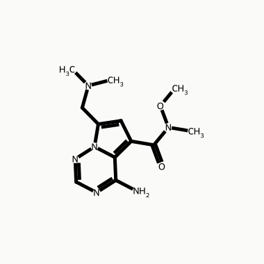 CON(C)C(=O)c1cc(CN(C)C)n2ncnc(N)c12